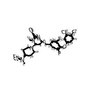 CCN(C)C1CCN(c2cc(OCc3cc(F)c(Oc4ccc(Cl)c(C(F)(F)F)c4)c(F)c3)nc(=O)n2C)CC1